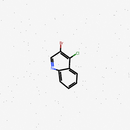 Clc1c(Br)cnc2ccccc12